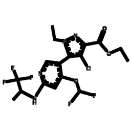 CCOC(=O)c1nn(CC)c(-c2cnc(NC(C)C(F)(F)F)cc2OC(F)F)c1Cl